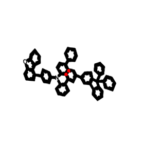 c1ccc(-c2ccc(N(c3ccc(-c4cccc5oc6ccccc6c45)cc3)c3ccccc3-c3cccc(-c4ccc5c(c4)-c4ccccc4C5(c4ccccc4)c4ccccc4)c3)cc2)cc1